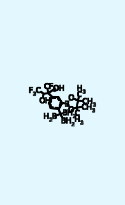 BC(B)(B)c1ccc(C(O)(C(O)C(F)(F)F)C(F)(F)F)cc1B1OC(C)(C)C(C)(C)O1